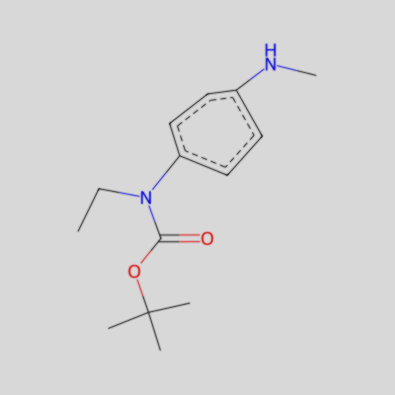 CCN(C(=O)OC(C)(C)C)c1ccc(NC)cc1